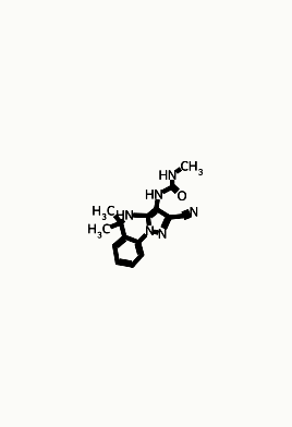 CNC(=O)Nc1c(C#N)nn2c1NC(C)(C)c1ccccc1-2